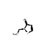 COCn1sccc1=O